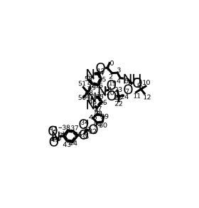 CC(CCCNC(=O)OC(C)(C)C)Oc1cc(N(C(=O)OC(C)(C)C)c2cc([C@H]3CC[C@@H](OC(=O)Oc4ccc([N+](=O)[O-])cc4)C3)nn2C(C)(C)C)ccn1